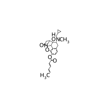 C/C=C/C=C/C(=O)Oc1ccc2c3c1O[C@H]1C(=O)CC4C[C@]31[C@]4(O)[C@H](N(C)CC1CC1)C2